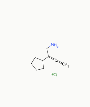 C=C=C(CN)C1CCCC1.Cl